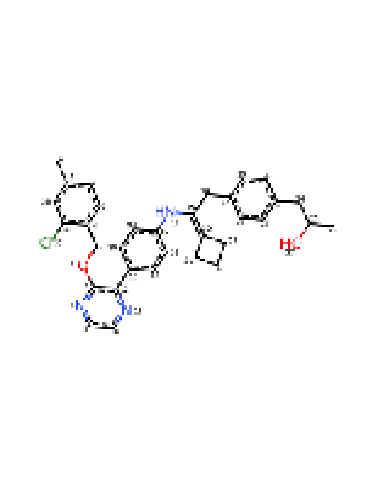 Cc1ccc(COc2nccnc2-c2ccc(NC(Cc3ccc(CC(C)O)cc3)=C3CCC3)cc2)c(Cl)c1